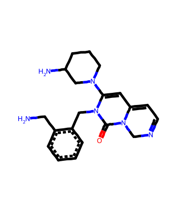 NCc1ccccc1CN1C(=O)N2CN=CC=C2C=C1N1CCCC(N)C1